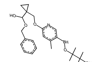 Cc1cc(OCC2(C(O)OCc3ccccc3)CC2)ncc1BOC(C)(C)C(C)(C)O